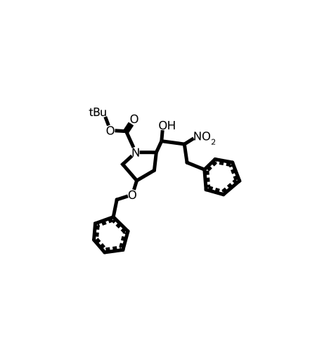 CC(C)(C)OC(=O)N1CC(OCc2ccccc2)CC1C(O)C(Cc1ccccc1)[N+](=O)[O-]